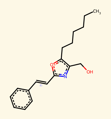 CCCCCCc1oc(/C=C/c2ccccc2)nc1CO